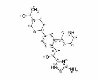 CC(=O)N1CCC(c2ccc(NC(=O)c3nc(N)c[nH]3)c(C3=CCCNC3)c2)CC1